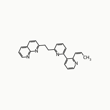 C/C=C\c1ncccc1-c1cccc(CCc2ccc3cccnc3n2)n1